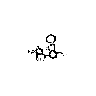 Cn1ncc(C(=O)c2ccc(CO)c(N=S3(=O)CCCCC3)c2Cl)c1O